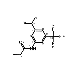 CCC(=O)Nc1cc(C(C)C)cc(C(F)(F)F)c1